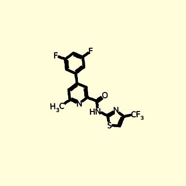 Cc1cc(-c2cc(F)cc(F)c2)cc(C(=O)Nc2nc(C(F)(F)F)cs2)n1